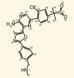 CNCc1ccc(-c2nnc(-c3nc(-c4ccc(C(C)(C)[SH](=O)=O)cc4Cl)cnc3N)o2)cc1